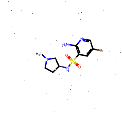 CN1CC[C@H](NS(=O)(=O)c2cc(Br)cnc2N)C1